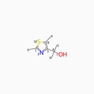 Cc1nc(C(C)(C)O)c(C)s1